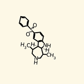 CC1CNCC(C)[C@@H]2Nc3ccc(S(=O)(=O)c4ccccc4)cc3[C@H]12